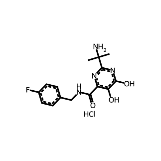 CC(C)(N)c1nc(O)c(O)c(C(=O)NCc2ccc(F)cc2)n1.Cl